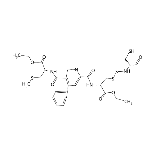 CCOC(=O)C(CSSN[C@H](C=O)CS)NC(=O)c1cc(-c2ccccc2)c(C(=O)NC(CSC)C(=O)OCC)cn1